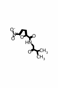 CC(C)C(=O)CNC(=O)c1ccc([N+](=O)[O-])o1